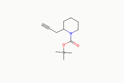 C#CCC1CCCCN1C(=O)O[Si](C)(C)C